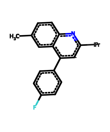 Cc1ccc2nc(C(C)C)[c]c(-c3ccc(F)cc3)c2c1